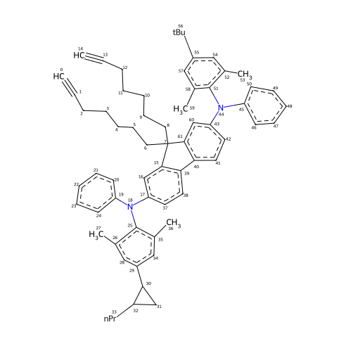 C#CCCCCCC1(CCCCCC#C)c2cc(N(c3ccccc3)c3c(C)cc(C4CC4CCC)cc3C)ccc2-c2ccc(N(c3ccccc3)c3c(C)cc(C(C)(C)C)cc3C)cc21